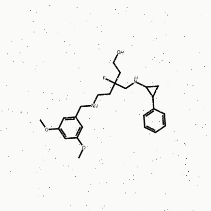 COc1cc(CNCCC(F)(CCO)CNC2CC2c2ccccc2)cc(OC)c1